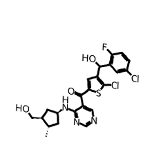 C[C@H]1C[C@H](Nc2ncncc2C(=O)c2cc(C(O)c3cc(Cl)ccc3F)c(Cl)s2)C[C@@H]1CO